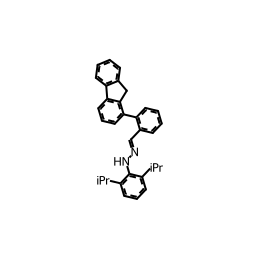 CC(C)c1cccc(C(C)C)c1N/N=C/c1ccccc1-c1cccc2c1Cc1ccccc1-2